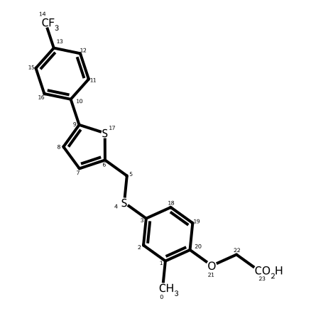 Cc1cc(SCc2ccc(-c3ccc(C(F)(F)F)cc3)s2)ccc1OCC(=O)O